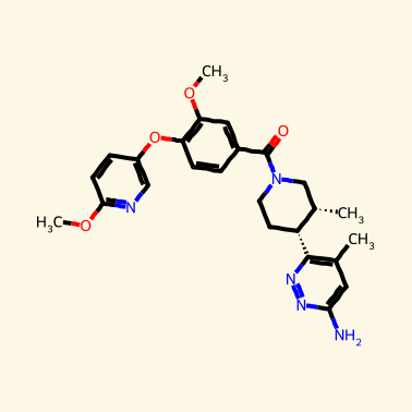 COc1ccc(Oc2ccc(C(=O)N3CC[C@@H](c4nnc(N)cc4C)[C@@H](C)C3)cc2OC)cn1